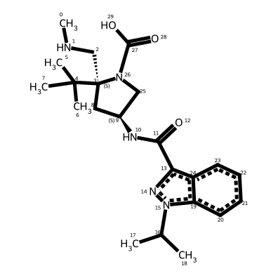 CNC[C@@]1(C(C)(C)C)C[C@H](NC(=O)c2nn(C(C)C)c3ccccc23)CN1C(=O)O